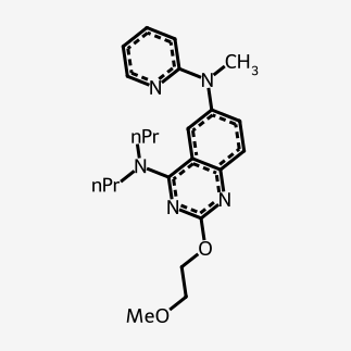 CCCN(CCC)c1nc(OCCOC)nc2ccc(N(C)c3ccccn3)cc12